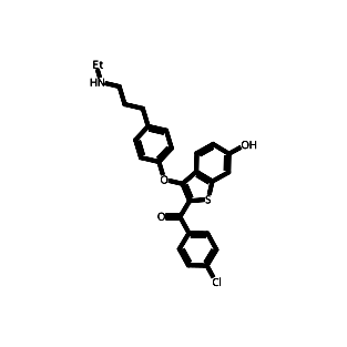 CCNCCCc1ccc(Oc2c(C(=O)c3ccc(Cl)cc3)sc3cc(O)ccc23)cc1